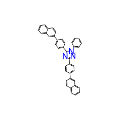 c1ccc(-n2nc(-c3ccc(-c4ccc5ccccc5c4)cc3)nc2-c2ccc(-c3ccc4ccccc4c3)cc2)cc1